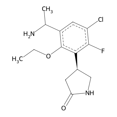 CCOc1c(C(C)N)cc(Cl)c(F)c1[C@H]1CNC(=O)C1